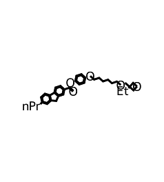 CCCc1ccc2c(c1)Cc1cc(C(=O)Oc3ccc(OCCCCCCOCC4(CC)COC4)cc3)ccc1-2